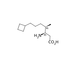 C[C@H](CCCC1CCC1)[C@H](N)CC(=O)O